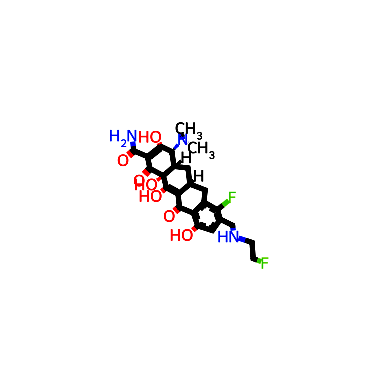 CN(C)[C@@H]1C(O)=C(C(N)=O)C(=O)[C@@]2(O)C(O)=C3C(=O)c4c(O)cc(CNCCF)c(F)c4C[C@H]3C[C@@H]12